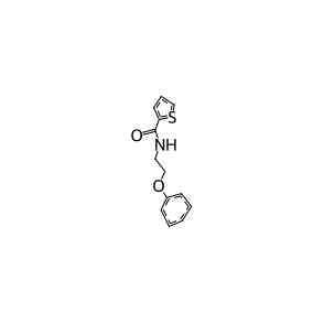 O=C(NCCOc1ccccc1)c1cccs1